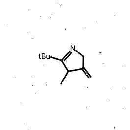 C=C1CN=C(C(C)(C)C)C1C